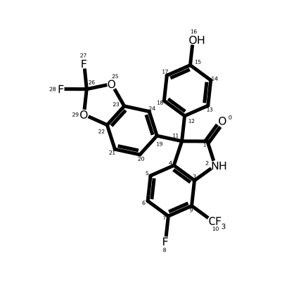 O=C1Nc2c(ccc(F)c2C(F)(F)F)C1(c1ccc(O)cc1)c1ccc2c(c1)OC(F)(F)O2